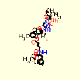 CC[C@H]1OC(n2ccc(NC(=O)CC(C)(C)c3c(C)cc(C)cc3OC(=O)CCCC(=O)NC(Cc3ccccc3)C(=O)OC(C)(C)C)nc2=O)[C@@H](O)[C@@H]1C